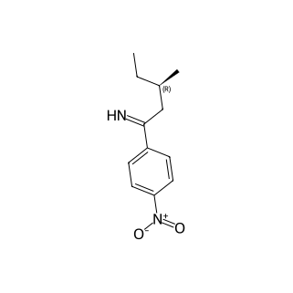 CC[C@@H](C)CC(=N)c1ccc([N+](=O)[O-])cc1